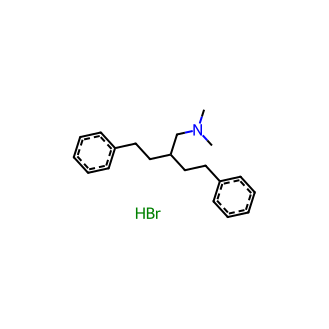 Br.CN(C)CC(CCc1ccccc1)CCc1ccccc1